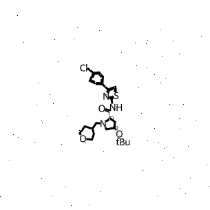 CC(C)(C)O[C@@H]1C[C@@H](C(=O)Nc2nc(-c3ccc(Cl)cc3)cs2)N(CC2CCOCC2)C1